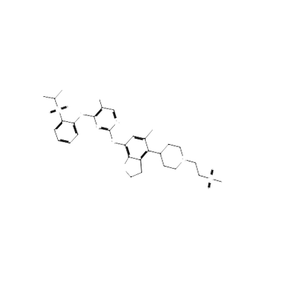 Cc1cc(Nc2ncc(Cl)c(Nc3ccccc3S(=O)(=O)C(C)C)n2)c2c(c1C1CCN(CCS(C)(=O)=O)CC1)C[C@H](C)O2